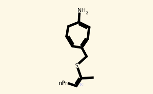 CCC/C=C(/C)SCC1=CC=C(N)CC=C1